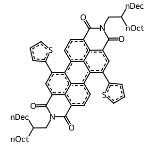 CCCCCCCCCCC(CCCCCCCC)CN1C(=O)c2ccc3c4c(-c5cccs5)cc5c6c(ccc(c7c(-c8cccs8)cc(c2c37)C1=O)c64)C(=O)N(CC(CCCCCCCC)CCCCCCCCCC)C5=O